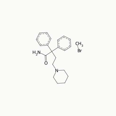 CBr.NC(=O)C(CCN1CCCCC1)(c1ccccc1)c1ccccc1